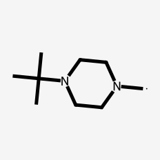 [CH2]N1CCN(C(C)(C)C)CC1